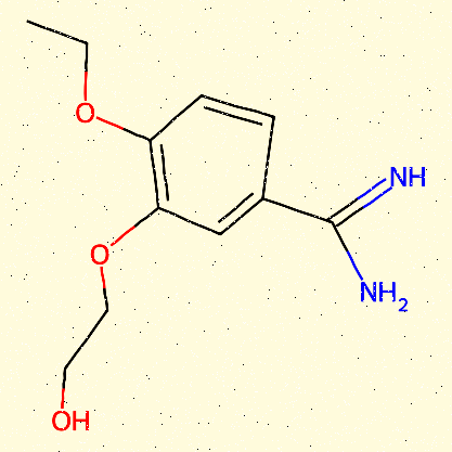 CCOc1ccc(C(=N)N)cc1OCCO